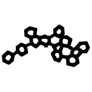 c1ccc(-c2ccc(-c3cc4nc(-n5c6cccc7c8cccc9c%10ccccc%10n(c%10cccc5c%10c76)c89)c(-c5ccccc5)nc4c4ccccc34)cc2)cc1